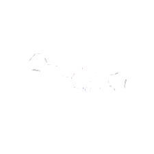 CC(NP(=O)(O)Oc1ccccc1)C(=O)OCc1ccccc1